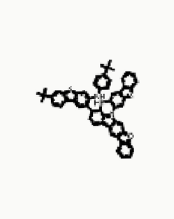 CC(C)(C)c1ccc(Nc2cc3sc4cc(C(C)(C)C)ccc4c3cc2-c2ccc3c4cc5c(cc4n4c3c2Bc2cc3c(cc2-4)sc2ccccc23)oc2ccccc25)cc1